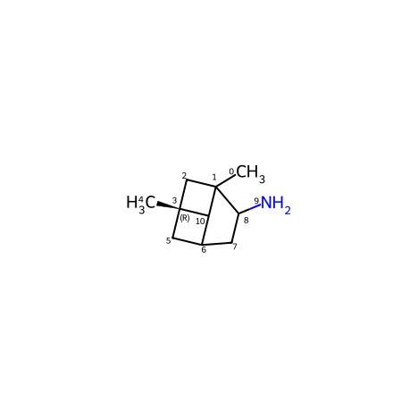 CC12C[C@@]3(C)CC(CC1N)C23